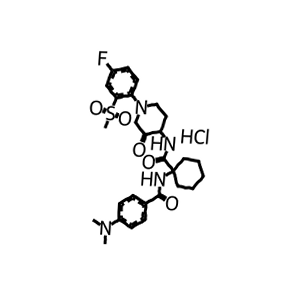 CN(C)c1ccc(C(=O)NC2(C(=O)NC3CCN(c4ccc(F)cc4S(C)(=O)=O)CC3=O)CCCCC2)cc1.Cl